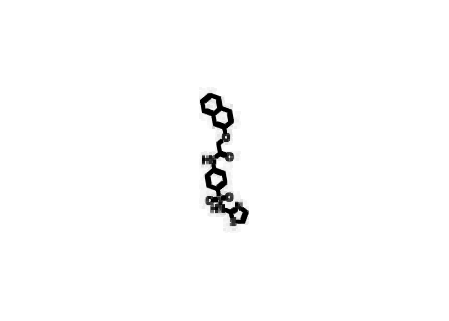 O=C(COc1ccc2ccccc2c1)Nc1ccc(S(=O)(=O)Nc2nccs2)cc1